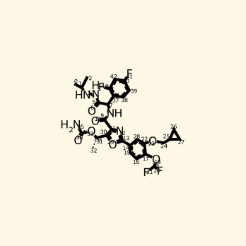 CC(C)NNC(=O)C(NC(=O)c1nc(-c2ccc(OC(F)F)c(OCC3CC3)c2)oc1[C@H](C)OC(N)=O)c1ccc(F)cc1F